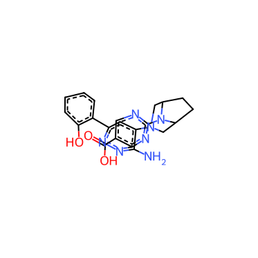 Nc1nnc(-c2ccccc2O)cc1N1CC2CCC(C1)N2c1ncc(C(=O)O)cn1